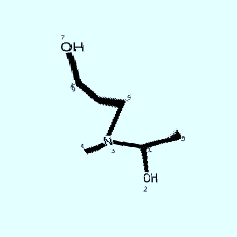 CC(O)N(C)CCO